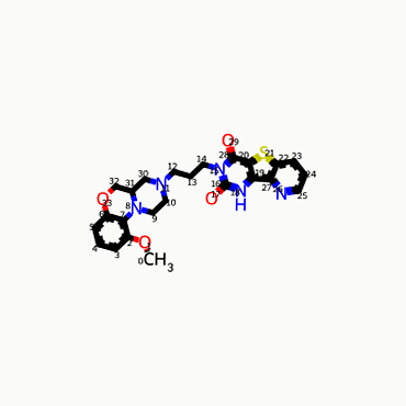 COc1cccc2c1N1CCN(CCCn3c(=O)[nH]c4c(sc5cccnc54)c3=O)CC1CO2